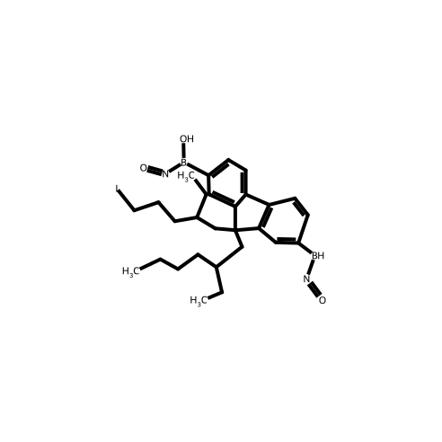 CCCCC(CC)CC1(CC(CC)CCCI)c2cc(BN=O)ccc2-c2ccc(B(O)N=O)cc21